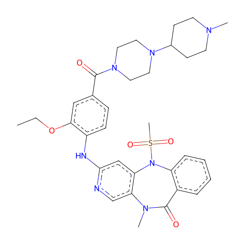 CCOc1cc(C(=O)N2CCN(C3CCN(C)CC3)CC2)ccc1Nc1cc2c(cn1)N(C)C(=O)c1ccccc1N2S(C)(=O)=O